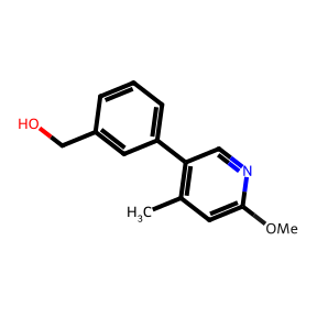 COc1cc(C)c(-c2cccc(CO)c2)cn1